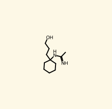 CC(=N)NC1(CCCO)CCCCC1